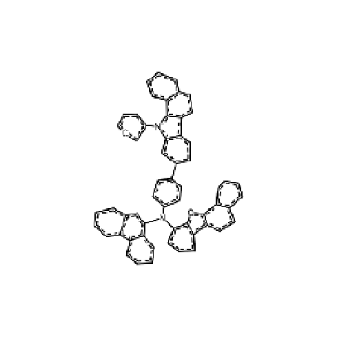 c1ccc(-n2c3cc(-c4ccc(N(c5cc6ccccc6c6ccccc56)c5cccc6c5oc5c7ccccc7ccc65)cc4)ccc3c3ccc4ccccc4c32)cc1